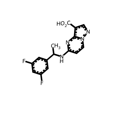 CC(Nc1ccn2ncc(C(=O)O)c2n1)c1cc(F)cc(F)c1